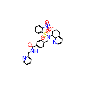 O=C(NCc1ccccn1)c1ccc(CN(C2CCCc3cccnc32)S(=O)(=O)c2ccccc2[N+](=O)[O-])cc1